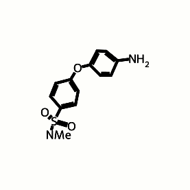 CNS(=O)(=O)c1ccc(Oc2ccc(N)cc2)cc1